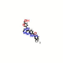 Nc1nccn2c(C3CCC(CO)OC3)nc(-c3ccc(C(=O)Nc4cc(C(F)(F)F)ccn4)cc3)c12